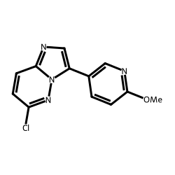 COc1ccc(-c2cnc3ccc(Cl)nn23)cn1